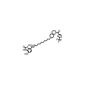 O=C(c1csc(C(F)(F)F)n1)N1CCOC2(CCN(CCCCCCCCCNC[C@H](O)c3ccc(O)c4[nH]c(=O)sc34)CC2)C1